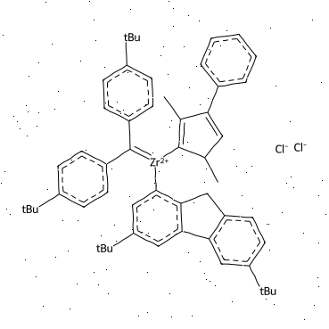 CC1=[C]([Zr+2](=[C](c2ccc(C(C)(C)C)cc2)c2ccc(C(C)(C)C)cc2)[c]2cc(C(C)(C)C)cc3c2Cc2ccc(C(C)(C)C)cc2-3)C(C)C=C1c1ccccc1.[Cl-].[Cl-]